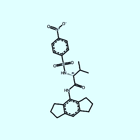 CC(C)[C@@H](NS(=O)(=O)c1ccc([N+](=O)[O-])cc1)C(=O)Nc1c2c(cc3c1CCC3)CCC2